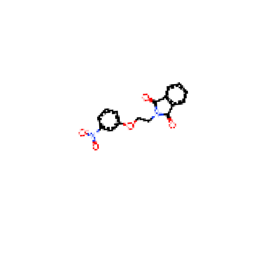 O=C1c2ccccc2C(=O)N1CCOc1cccc([N+](=O)[O-])c1